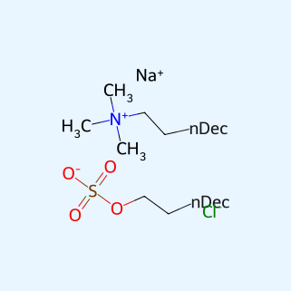 CCCCCCCCCCCCOS(=O)(=O)[O-].CCCCCCCCCCCC[N+](C)(C)C.[Cl-].[Na+]